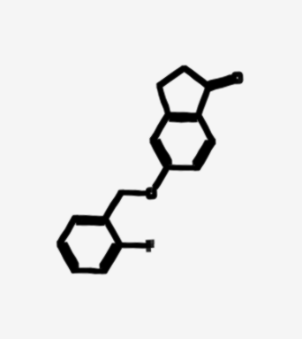 O=C1CCc2cc(OCc3ccccc3F)ccc21